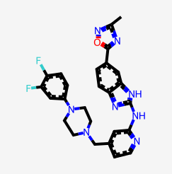 Cc1noc(-c2ccc3nc(Nc4cc(CN5CCN(c6ccc(F)c(F)c6)CC5)ccn4)[nH]c3c2)n1